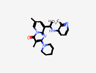 Cc1cc(C(C)Nc2cccnc2C(=O)O)c2nc(N3CCCCC3)c(C)c(=O)n2c1